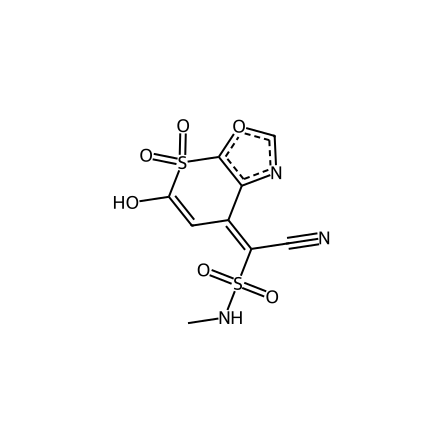 CNS(=O)(=O)/C(C#N)=C1\C=C(O)S(=O)(=O)c2ocnc21